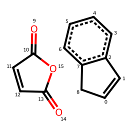 C1=Cc2ccccc2C1.O=C1C=CC(=O)O1